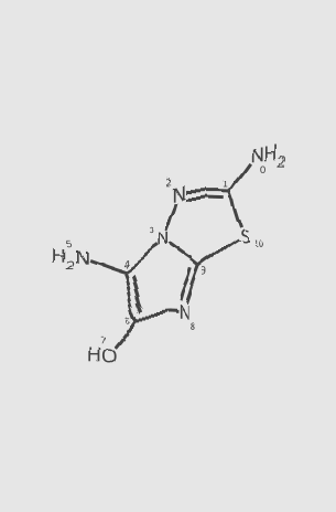 Nc1nn2c(N)c(O)nc2s1